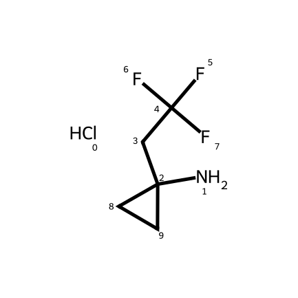 Cl.NC1(CC(F)(F)F)CC1